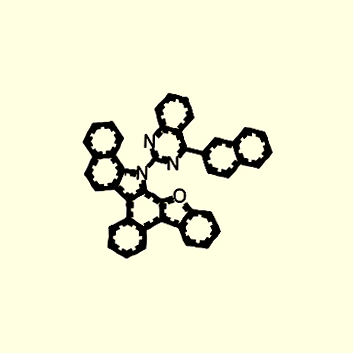 c1ccc2cc(-c3nc(-n4c5c6ccccc6ccc5c5c6ccccc6c6c7ccccc7oc6c54)nc4ccccc34)ccc2c1